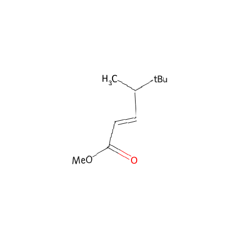 COC(=O)/C=C/C(C)C(C)(C)C